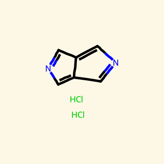 C1=NC=C2C=NC=C12.Cl.Cl